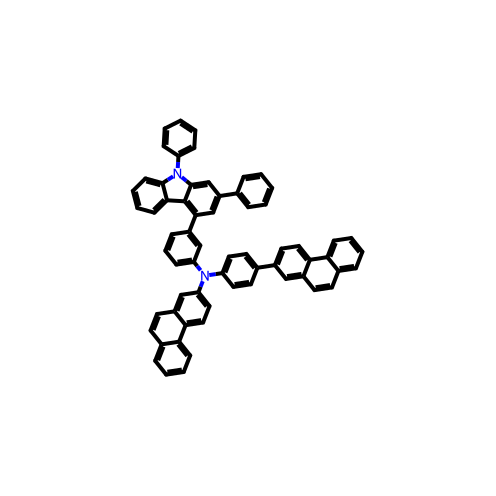 c1ccc(-c2cc(-c3cccc(N(c4ccc(-c5ccc6c(ccc7ccccc76)c5)cc4)c4ccc5c(ccc6ccccc65)c4)c3)c3c4ccccc4n(-c4ccccc4)c3c2)cc1